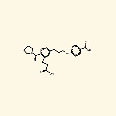 N=C(N)c1ccc(NCCCc2ccc(C(=O)N3CCCC3)c(CCC(=O)O)c2)cc1